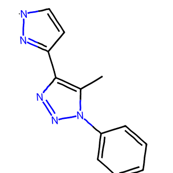 Cc1c(C2=N[N]C=C2)nnn1-c1ccccc1